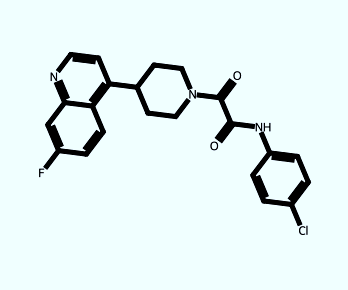 O=C(Nc1ccc(Cl)cc1)C(=O)N1CCC(c2ccnc3cc(F)ccc23)CC1